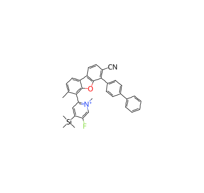 Cc1ccc2c(oc3c(-c4ccc(-c5ccccc5)cc4)c(C#N)ccc32)c1-c1cc([Si](C)(C)C)c(F)c[n+]1C